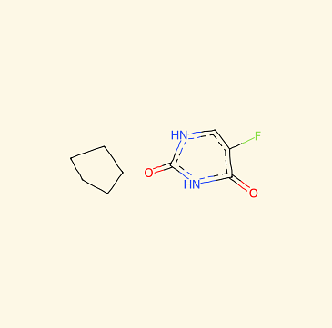 C1CCCC1.O=c1[nH]cc(F)c(=O)[nH]1